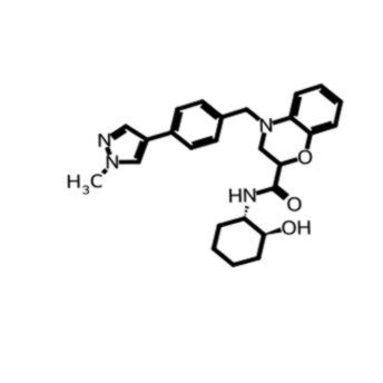 Cn1cc(-c2ccc(CN3CC(C(=O)N[C@H]4CCCC[C@@H]4O)Oc4ccccc43)cc2)cn1